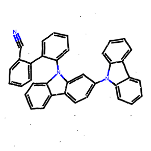 N#Cc1ccccc1-c1ccccc1-n1c2ccccc2c2ccc(-n3c4ccccc4c4ccccc43)cc21